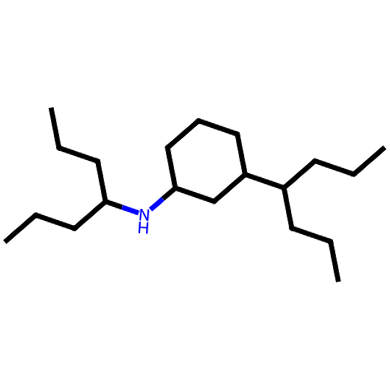 CCCC(CCC)NC1CCCC(C(CCC)CCC)C1